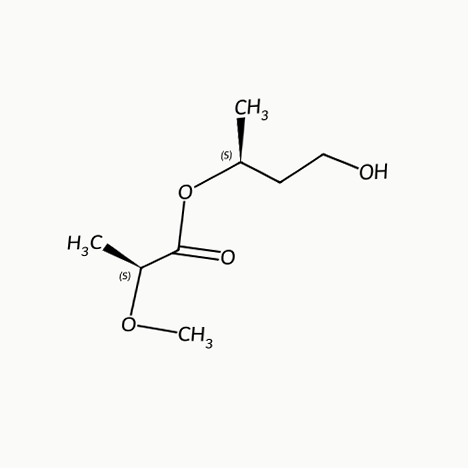 CO[C@@H](C)C(=O)O[C@@H](C)CCO